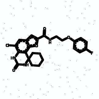 O=C1Nc2c(Cl)cc3cc(C(=O)NCCOc4ccc(F)cc4)oc3c2C2(CCCCC2)N1